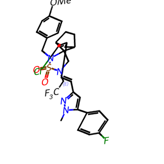 COc1ccc(CN2C3(CN(CC(F)(F)F)S2(=O)=O)C2CCC3CC(/C=C/c3cc(-c4ccc(F)cc4)n(C)n3)=C(Cl)C2)cc1